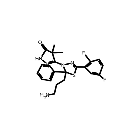 CC1(C)C(=O)NN=C1N1N=C(c2cc(F)ccc2F)SC1(CCCN)c1ccccc1